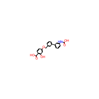 O=C(O)Nc1cccc(-c2cccc(COc3ccc(C(=O)O)c(O)c3)c2)c1